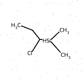 CCC(Cl)[SiH](C)C